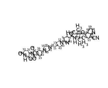 CC1(C)[C@H](NC(=O)c2ccc(N3CCC(CCN4CCN(c5ccc6c(c5)C(=O)N(C5CCC(=O)NC5=O)C6=O)CC4)CC3)nc2)C(C)(C)[C@H]1Oc1ccc(C#N)c2ncccc12